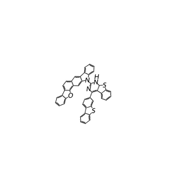 c1ccc2c(c1)SC1NC(n3c4ccccc4c4cc5ccc6c7ccccc7oc6c5cc43)=NC(c3ccc4c(c3)sc3ccccc34)=C21